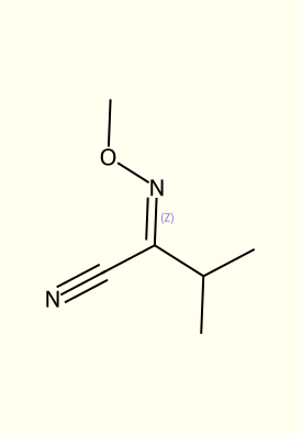 CO/N=C(\C#N)C(C)C